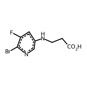 O=C(O)CCNc1cnc(Br)c(F)c1